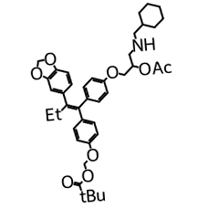 CCC(=C(c1ccc(OCOC(=O)C(C)(C)C)cc1)c1ccc(OCC(CNCC2CCCCC2)OC(C)=O)cc1)c1ccc2c(c1)OCO2